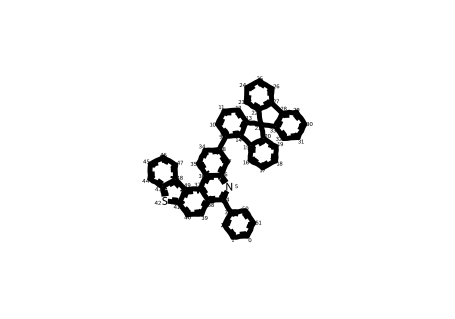 c1ccc(-c2nc3cc(-c4cccc5c4-c4ccccc4C54c5ccccc5-c5ccccc54)ccc3c3c2ccc2sc4ccccc4c23)cc1